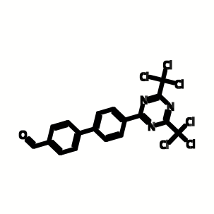 O=Cc1ccc(-c2ccc(-c3nc(C(Cl)(Cl)Cl)nc(C(Cl)(Cl)Cl)n3)cc2)cc1